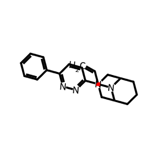 C=CCN1C2CCCC1CN(c1ccc(-c3ccccc3)nn1)C2